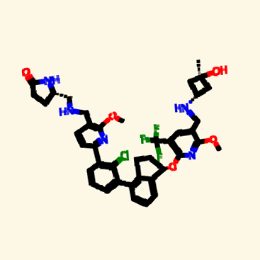 COc1nc(-c2cccc(-c3cccc4c3CC[C@@H]4Oc3nc(OC)c(CN[C@H]4C[C@](C)(O)C4)cc3C(F)(F)F)c2Cl)ccc1CNC[C@@H]1CCC(=O)N1